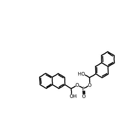 O=[PH](OC(O)c1ccc2ccccc2c1)OC(O)c1ccc2ccccc2c1